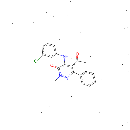 CC(=O)c1c(-c2ccccc2)nn(C)c(=O)c1Nc1cccc(Cl)c1